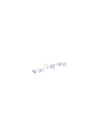 Cc1ncsc1-c1ccc(C(C)NC(=O)[C@@H]2C[C@@H](O)CN2C(=O)C(NC(=O)CC2CCN(c3ccc(-c4cnnc(Cl)c4)cc3)CC2)C(C)(C)C)cc1